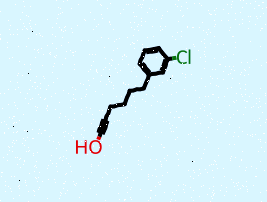 OC#CCCCCc1cccc(Cl)c1